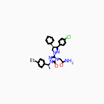 CCc1ccc([C@H](C)n2nc(N3C[C@@H](c4ccccc4)C(c4ccc(Cl)cc4)=N3)n(CC(N)=O)c2=O)cc1